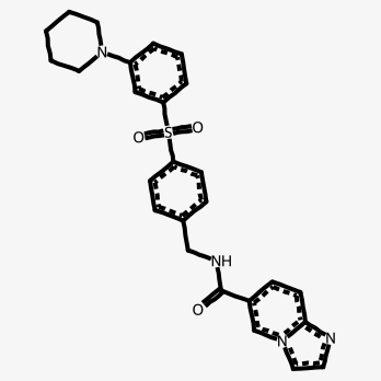 O=C(NCc1ccc(S(=O)(=O)c2cccc(N3CCCCC3)c2)cc1)c1ccc2nccn2c1